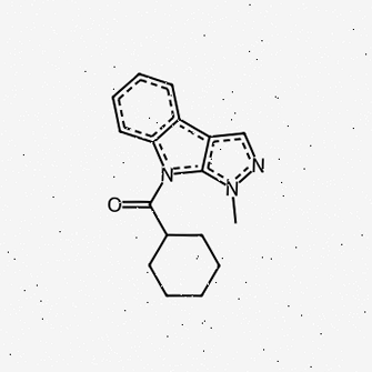 Cn1ncc2c3ccccc3n(C(=O)C3CCCCC3)c21